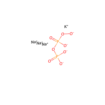 O=P([O-])([O-])OP(=O)([O-])O[O-].[K+].[Na+].[Na+].[Na+]